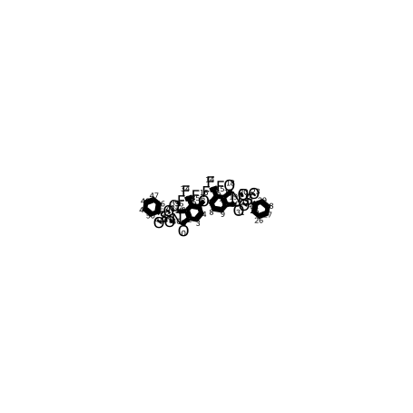 O=C1c2ccc(Oc3ccc4c(c3C(F)(F)F)C(=O)N(OS(=O)(=O)c3ccccc3)C4=O)c(C(F)(F)F)c2C(=O)N1OS(=O)(=O)c1ccccc1